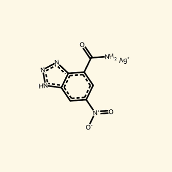 NC(=O)c1cc([N+](=O)[O-])cc2[nH]nnc12.[Ag+]